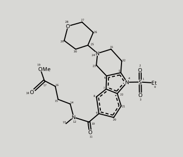 CCS(=O)(=O)n1c2c(c3cc(C(=O)N(C)CCCC(=O)OC)ccc31)CN(C1CCOCC1)CC2